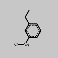 CCc1cccc(NCl)c1